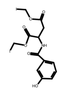 O=C(CC(NC(=O)c1cccc(O)c1)C(=O)OCI)OCI